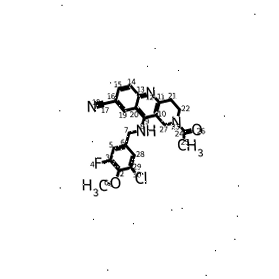 COc1c(F)cc(CNc2c3c(nc4ccc(C#N)cc24)CCN(C(C)=O)C3)cc1Cl